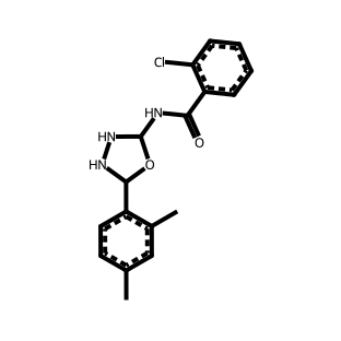 Cc1ccc(C2NNC(NC(=O)c3ccccc3Cl)O2)c(C)c1